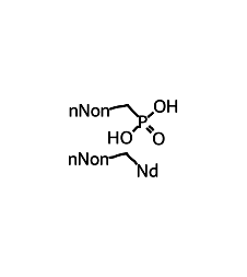 CCCCCCCCCCP(=O)(O)O.CCCCCCCCC[CH2][Nd]